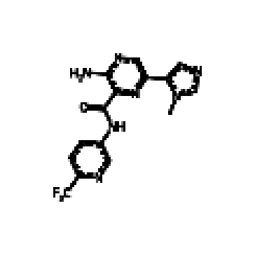 Cn1cncc1-c1cnc(N)c(C(=O)Nc2ccc(C(F)(F)F)nc2)n1